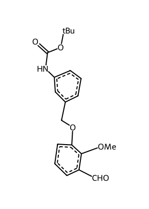 COc1c(C=O)cccc1OCc1cccc(NC(=O)OC(C)(C)C)c1